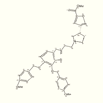 COC(=O)c1cc([C@@H]2CCN(CCNCc3ccc(OCc4ccc(OC)cc4)c(OCc4ccc(OC)cc4)c3Cl)C2)no1